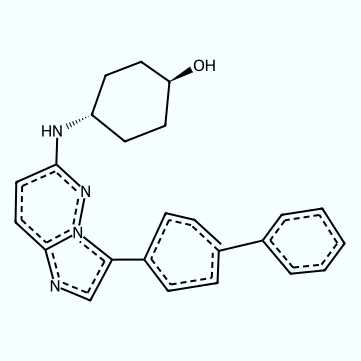 O[C@H]1CC[C@H](Nc2ccc3ncc(-c4ccc(-c5ccccc5)cc4)n3n2)CC1